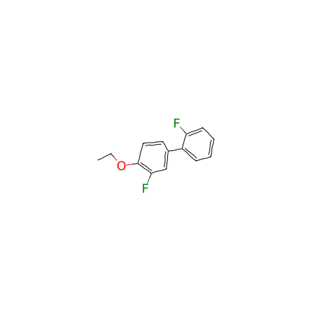 CCOc1ccc(-c2ccccc2F)cc1F